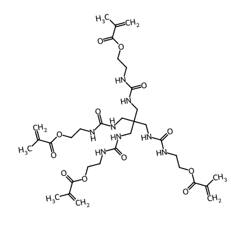 C=C(C)C(=O)OCCNC(=O)NCC(CNC(=O)NCCOC(=O)C(=C)C)(CNC(=O)NCCOC(=O)C(=C)C)CNC(=O)NCCOC(=O)C(=C)C